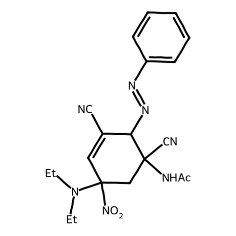 CCN(CC)C1([N+](=O)[O-])C=C(C#N)C(/N=N/c2ccccc2)C(C#N)(NC(C)=O)C1